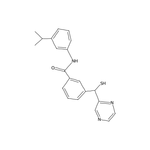 CC(C)c1cccc(NC(=O)c2cccc(C(S)c3cnccn3)c2)c1